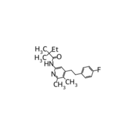 CCC(C)(C)C(=O)Nc1cc(CCc2ccc(F)cc2)c(C)c(C)n1